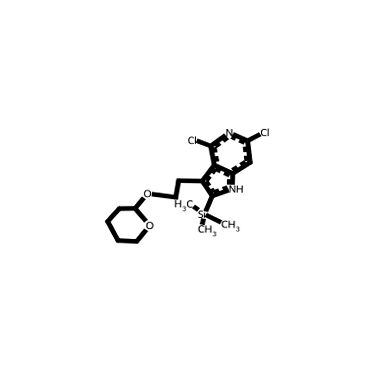 C[Si](C)(C)c1[nH]c2cc(Cl)nc(Cl)c2c1CCOC1CCCCO1